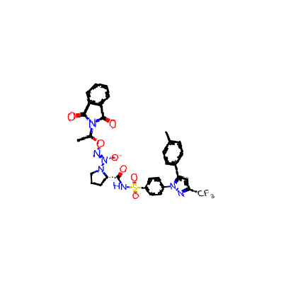 Cc1ccc(-c2cc(C(F)(F)F)nn2-c2ccc(S(=O)(=O)NC(=O)[C@@H]3CCCN3/[N+]([O-])=N/OC(C)N3C(=O)c4ccccc4C3=O)cc2)cc1